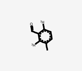 [2H]c1ccc(C)c([2H])c1C=O